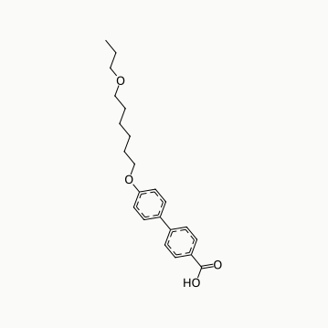 CCCOCCCCCCOc1ccc(-c2ccc(C(=O)O)cc2)cc1